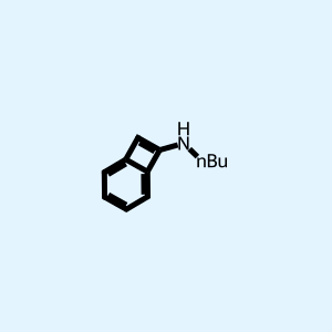 [CH2]CCCNC1=Cc2ccccc21